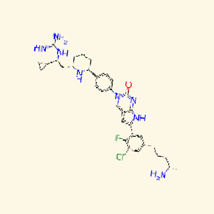 C[C@H](N)CCCc1cc(Cl)c(F)c(-c2cc3cn(-c4ccc([C@@H]5CCC[C@@H](C[C@H](NC(=N)N)C6CC6)N5)cc4)c(=O)nc3[nH]2)c1